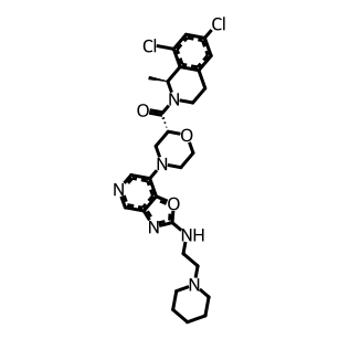 C[C@H]1c2c(Cl)cc(Cl)cc2CCN1C(=O)[C@H]1CN(c2cncc3nc(NCCN4CCCCC4)oc23)CCO1